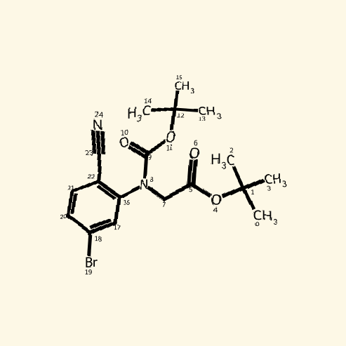 CC(C)(C)OC(=O)CN(C(=O)OC(C)(C)C)c1cc(Br)ccc1C#N